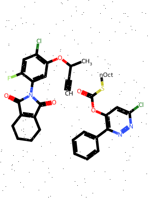 C#CC(C)Oc1cc(N2C(=O)C3=C(CCCC3)C2=O)c(F)cc1Cl.CCCCCCCCSC(=O)Oc1cc(Cl)nnc1-c1ccccc1